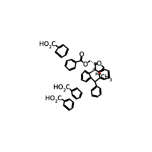 C[C@H]1CO[C@@H](COC(=O)c2ccccc2)[C@@H]1c1ccccc1C(c1ccccc1)c1ccccc1.O=C(O)c1ccccc1.O=C(O)c1ccccc1.O=C(O)c1ccccc1